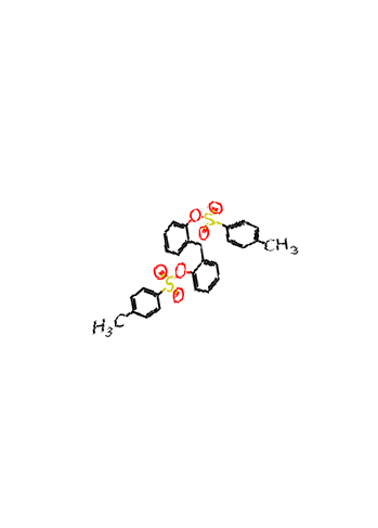 Cc1ccc(S(=O)(=O)Oc2ccccc2Cc2ccccc2OS(=O)(=O)c2ccc(C)cc2)cc1